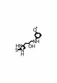 COc1cccc(NCC(O)Cc2c[nH]c(=S)[nH]2)c1